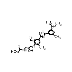 CCc1cc(-c2noc(-c3cc(C)nc(N(CC)CC)c3)n2)cc(C)c1OC[C@@H](O)CNC(=O)CO